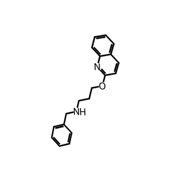 c1ccc(CNCCCOc2ccc3ccccc3n2)cc1